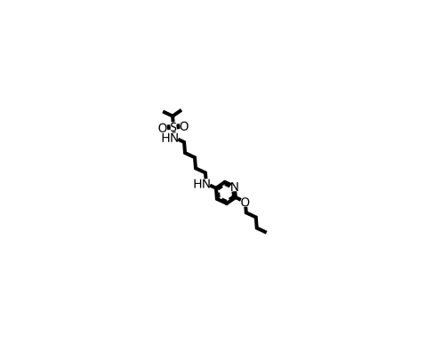 CCCCOc1ccc(NCCCCCNS(=O)(=O)C(C)C)cn1